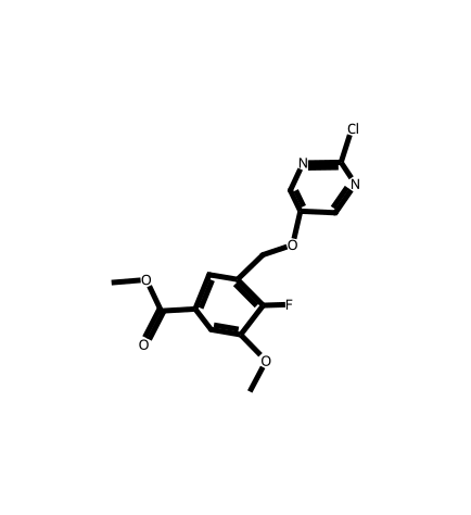 COC(=O)c1cc(COc2cnc(Cl)nc2)c(F)c(OC)c1